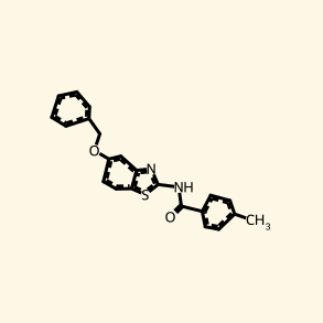 Cc1ccc(C(=O)Nc2nc3cc(OCc4ccccc4)ccc3s2)cc1